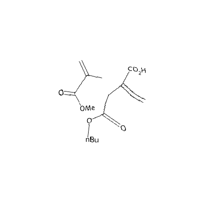 C=C(C)C(=O)OC.C=C(CC(=O)OCCCC)C(=O)O